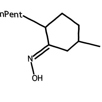 CCCCCC1CCC(C)CC1=NO